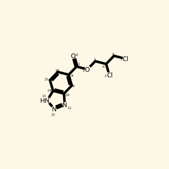 O=C(OCC(Cl)CCl)c1[c]c2nn[nH]c2cc1